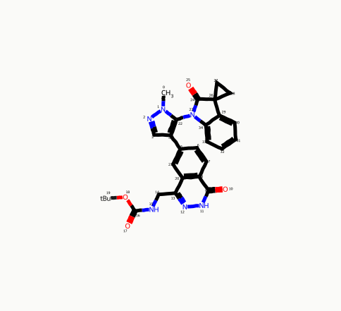 Cn1ncc(-c2ccc3c(=O)[nH]nc(CNC(=O)OC(C)(C)C)c3c2)c1N1C(=O)C2(CC2)c2ccccc21